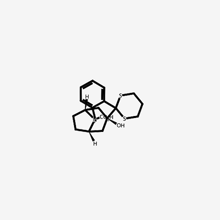 O=C(O)N1[C@@H]2CC[C@H]1C[C@@](O)(C1(c3ccccc3F)SCCCS1)C2